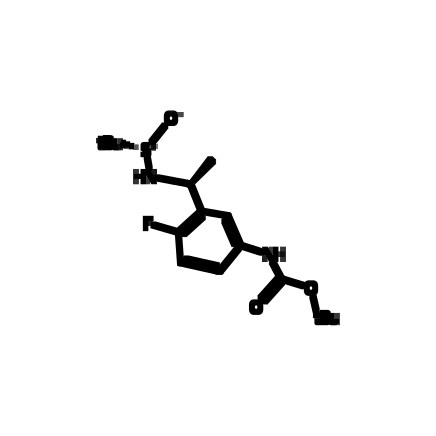 C[C@H](N[S@@+]([O-])C(C)(C)C)c1cc(NC(=O)OC(C)(C)C)ccc1F